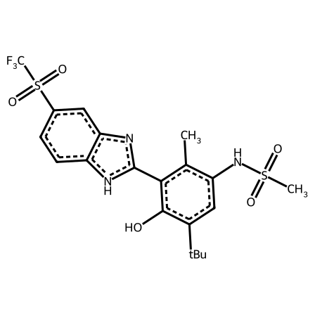 Cc1c(NS(C)(=O)=O)cc(C(C)(C)C)c(O)c1-c1nc2cc(S(=O)(=O)C(F)(F)F)ccc2[nH]1